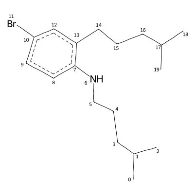 CC(C)CCCNc1ccc(Br)cc1CCCC(C)C